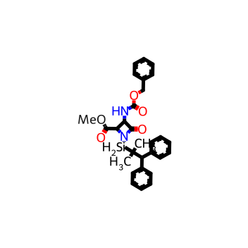 COC(=O)C1C(NC(=O)OCc2ccccc2)C(=O)N1[SiH2]C(C)(C)C(c1ccccc1)c1ccccc1